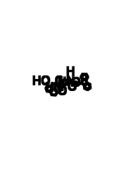 O=C(N[C@H]1C[C@@H](C(=O)N[C@@H]2CCCc3ccccc32)N(C(=O)O)C1)OCC1c2ccccc2-c2ccccc21